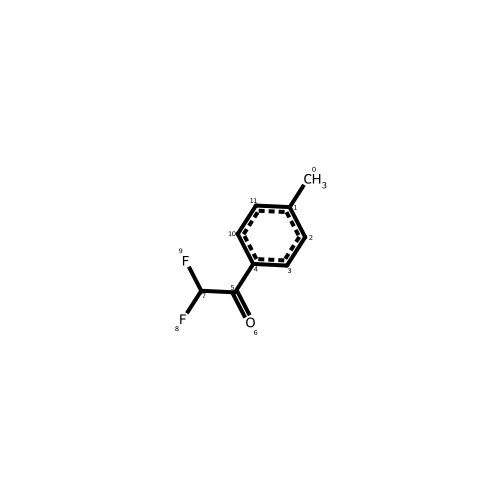 Cc1ccc(C(=O)[C](F)F)cc1